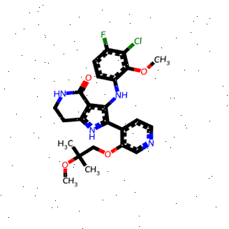 COc1c(Nc2c(-c3ccncc3OCC(C)(C)OC)[nH]c3c2C(=O)NCC3)ccc(F)c1Cl